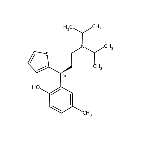 Cc1ccc(O)c([C@H](CCN(C(C)C)C(C)C)c2cccs2)c1